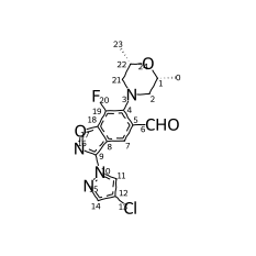 C[C@@H]1CN(c2c(C=O)cc3c(-n4cc(Cl)cn4)noc3c2F)C[C@H](C)O1